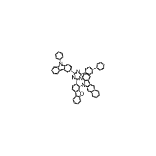 c1ccc(-c2ccc(-c3nc(-c4ccc5c(c4)c4ccccc4n5-c4ccccc4)nc(-c4ccc5c(oc6ccccc65)c4-n4c5ccccc5c5cc6ccccc6cc54)n3)cc2)cc1